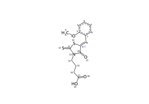 COc1ccccc1/C=C1\SC(=S)N(CCCC(=O)O)C1=O